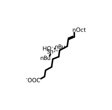 CCCCCCCCC=CCCCCCCCC(=O)[O-].CCC[CH2][Sn+2][CH2]CCC.[OH-]